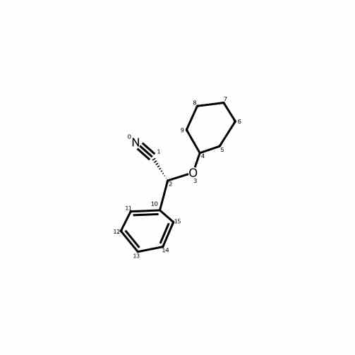 N#C[C@H](OC1CCCCC1)c1ccccc1